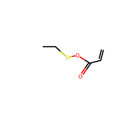 C=CC(=O)OSCC